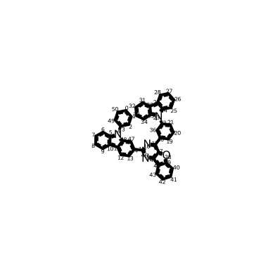 c1ccc(-n2c3ccccc3c3ccc(-c4nc(-c5cccc(-n6c7ccccc7c7ccccc76)c5)c5oc6ccccc6c5n4)cc32)cc1